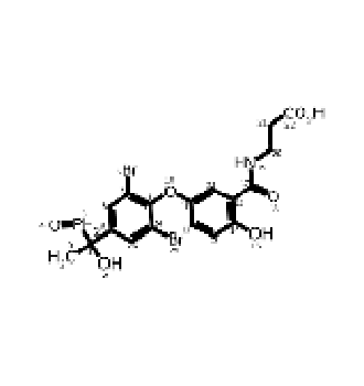 CC(O)([PH2]=O)c1cc(Br)c(Oc2ccc(O)c(C(=O)NCCC(=O)O)c2)c(Br)c1